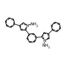 Nn1cc(-c2ccccc2)cc1-c1cccc(-c2cc(-c3ccccc3)cn2N)c1